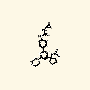 O=C(Nc1ccc(-c2nc(N3CCOCC3)cc(C3(C[SH](=O)=O)CCCC3)n2)cc1)NC1CC1